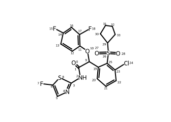 O=C(Nc1ncc(F)s1)C(Oc1ccc(F)cc1F)c1cccc(Cl)c1S(=O)(=O)C1CCCC1